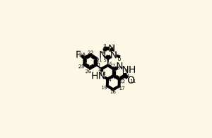 Cn1ncnc1[C@H]1c2n[nH]c(=O)c3c2C(CCC3)N[C@H]1c1ccc(F)cc1